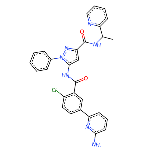 CC(NC(=O)c1cc(NC(=O)c2cc(-c3cccc(N)n3)ccc2Cl)n(-c2ccccc2)n1)c1ccccn1